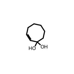 OC1(O)/C=C\CCCCC1